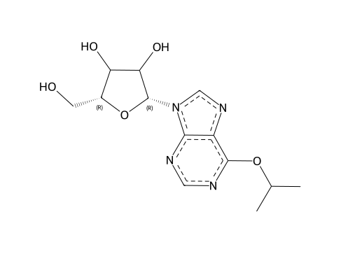 CC(C)Oc1ncnc2c1ncn2[C@@H]1O[C@H](CO)C(O)C1O